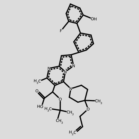 C=CCOC1(C)CCN(c2c(C(OC(C)(C)C)C(=O)O)c(C)nc3cc(-c4cccc(-c5c(O)cccc5F)c4)nn23)CC1